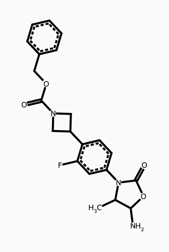 CC1C(N)OC(=O)N1c1ccc(C2CN(C(=O)OCc3ccccc3)C2)c(F)c1